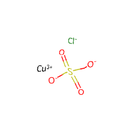 O=S(=O)([O-])[O-].[Cl-].[Cu+3]